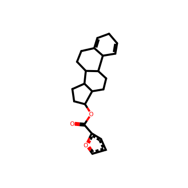 O=C(OC1CCC2C1CCC1C3C=CCC=C3CCC12)c1ccco1